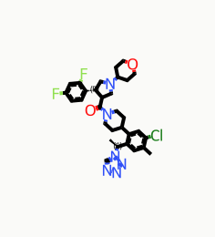 Cc1cc([C@H](C)n2cnnn2)c(C2CCN(C(=O)C3CN(C4CCOCC4)C[C@H]3c3ccc(F)cc3F)CC2)cc1Cl